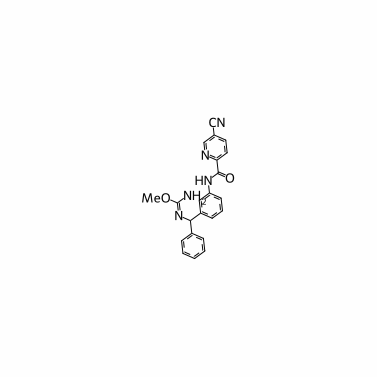 CO/C(N)=N/C(c1ccccc1)c1cccc(NC(=O)c2ccc(C#N)cn2)c1